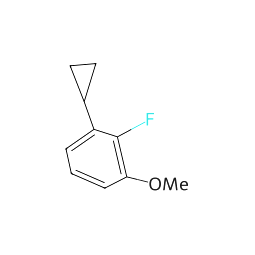 COc1cccc(C2CC2)c1F